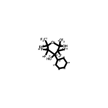 CCC1(C(F)(F)F)OC(O)(C(F)(F)F)C(F)(F)C(O)(C2CCCCC2)C1(F)F